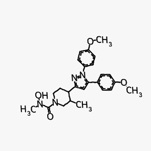 COc1ccc(-c2cc(C3CCN(C(=O)N(C)O)CC3C)nn2-c2ccc(OC)cc2)cc1